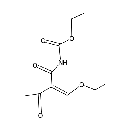 CCO/C=C(/C(C)=O)C(=O)NC(=O)OCC